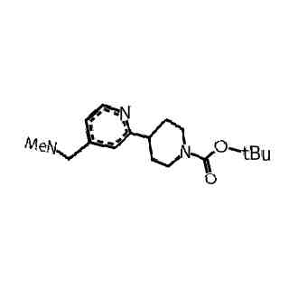 CNCc1ccnc(C2CCN(C(=O)OC(C)(C)C)CC2)c1